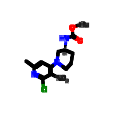 Cc1cc(N2CCC[C@@H](NC(=O)OC(C)(C)C)C2)c([N+](=O)[O-])c(Cl)n1